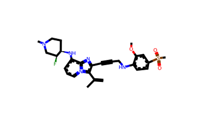 C=C(C)c1c(C#CCNc2ccc(S(C)(=O)=O)cc2OC)nc2c(N[C@@H]3CCN(C)C[C@@H]3F)cccn12